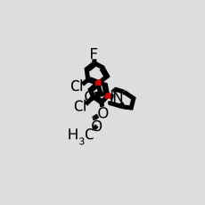 COCOc1c(Cl)cccc1N1C2CCC1CN(C(=O)c1ccc(F)cc1Cl)C2